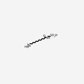 C[Si](C)(O)CCCCCCCCCCC(=O)NCCS(=O)(=O)O